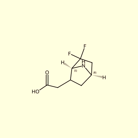 O=C(O)CC1C[C@@H]2CC(F)(F)[C@H]1N2